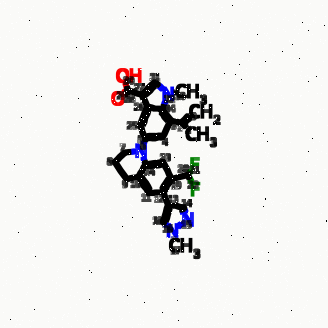 C=C(C)c1cc(N2CCCc3cc(-c4cnn(C)c4)c(C(F)F)cc32)cc2c(C(=O)O)cn(C)c12